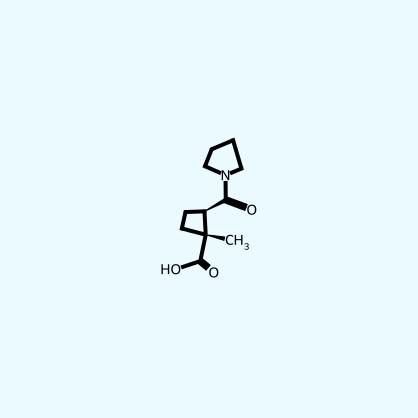 C[C@@]1(C(=O)O)CC[C@H]1C(=O)N1CCCC1